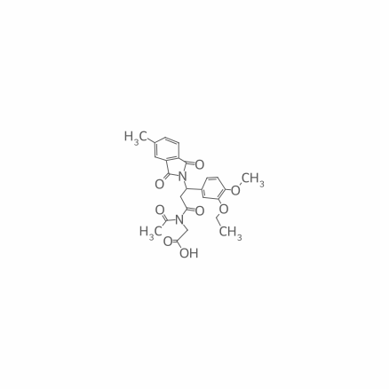 CCOc1cc(C(CC(=O)N(CC(=O)O)C(C)=O)N2C(=O)c3ccc(C)cc3C2=O)ccc1OC